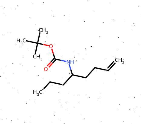 C=CCCC(CCC)NC(=O)OC(C)(C)C